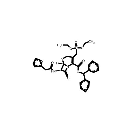 CCOP(=O)(CC1=C(C(=O)OC(c2ccccc2)c2ccccc2)N2C(=O)[C@@H](NC(=O)Cc3cccs3)[C@@H]2SC1)OCC